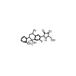 CCN1C(=O)N(c2cc3c(cc2F)C(C)(O)C(c2ccccc2C)CN3C(C)C)NC1CO